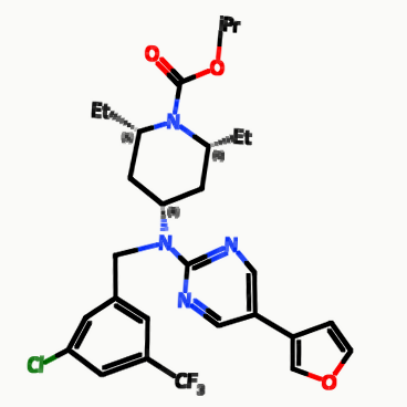 CC[C@@H]1C[C@H](N(Cc2cc(Cl)cc(C(F)(F)F)c2)c2ncc(-c3ccoc3)cn2)C[C@H](CC)N1C(=O)OC(C)C